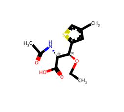 CCO[C@H](c1cc(C)cs1)[C@@H](NC(C)=O)C(=O)O